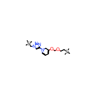 C[Si](C)(C)CCOCOC1=CC=CN(c2cn(C[Si](C)(C)C)nn2)C1